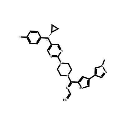 Cn1cc(-c2c[nH]c(/C(=N\C=N)N3CCN(c4ncc([C@H](c5ccc(F)cc5)C5CC5)cn4)CC3)c2)cn1